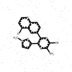 Cn1ccc(-c2nc(N)c(C#N)nc2-c2ccc3nccc(Cl)c3c2)n1